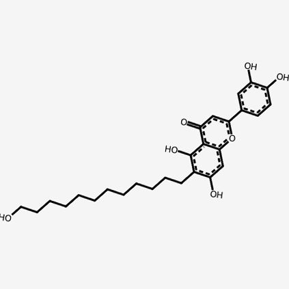 O=c1cc(-c2ccc(O)c(O)c2)oc2cc(O)c(CCCCCCCCCCCCO)c(O)c12